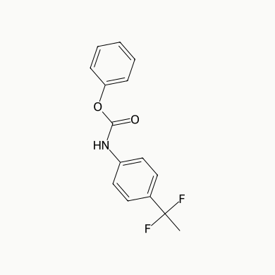 CC(F)(F)c1ccc(NC(=O)Oc2ccccc2)cc1